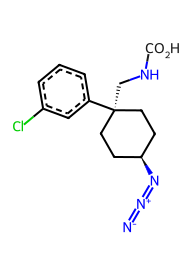 [N-]=[N+]=N[C@H]1CC[C@@](CNC(=O)O)(c2cccc(Cl)c2)CC1